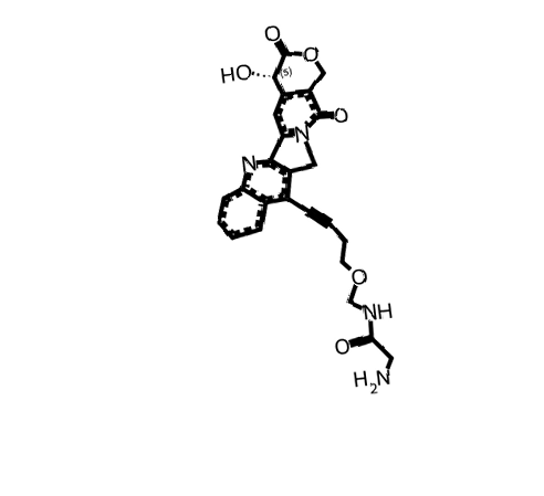 NCC(=O)NCOCCC#Cc1c2c(nc3ccccc13)-c1cc3c(c(=O)n1C2)COC(=O)[C@H]3O